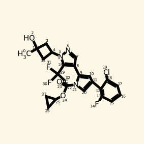 CC1(O)CC(n2ncc(-c3cc(-c4c(F)cccc4Cl)cn3C(=O)OC3CC3)c2C(F)(F)F)C1